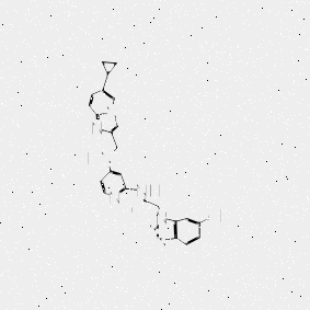 O=C(Cn1nnc2ccc(Cl)cc21)Nc1cc(NCc2cn3cc(C4CC4)ccc3n2)ccn1